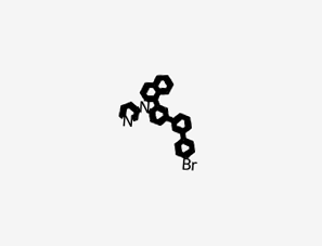 Brc1ccc(-c2cccc(-c3ccc4c(c3)c3c5ccccc5ccc3n4-c3cccnc3)c2)cc1